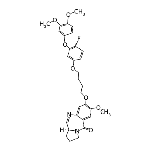 COc1ccc(Oc2cc(OCCCCOc3cc4c(cc3OC)C(=O)N3CCC[C@H]3C=N4)ccc2F)cc1OC